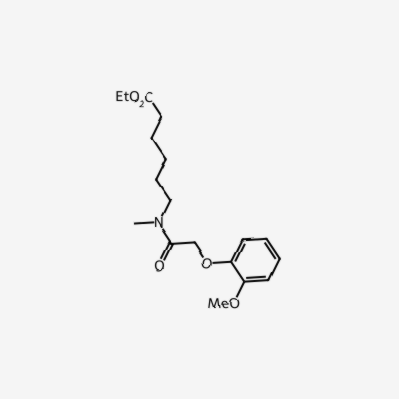 CCOC(=O)CCCCCN(C)C(=O)COc1ccccc1OC